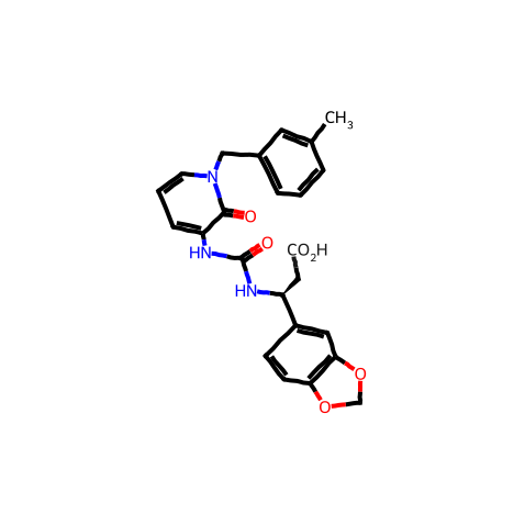 Cc1cccc(Cn2cccc(NC(=O)N[C@@H](CC(=O)O)c3ccc4c(c3)OCO4)c2=O)c1